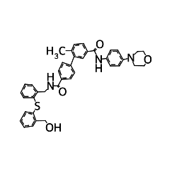 Cc1ccc(C(=O)Nc2ccc(N3CCOCC3)cc2)cc1-c1ccc(C(=O)NCc2ccccc2Sc2ccccc2CO)cc1